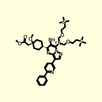 Bc1c(N(COCC[Si](C)(C)C)COCC[Si](C)(C)C)n2ncc(-c3ccc(-c4ccccc4)nc3)c2nc1[C@H]1CC[C@@](CC(=O)OC)(OC)CC1